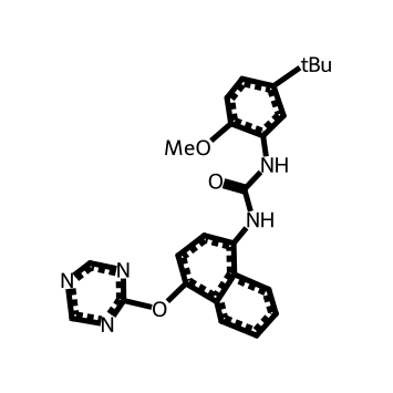 COc1ccc(C(C)(C)C)cc1NC(=O)Nc1ccc(Oc2ncncn2)c2ccccc12